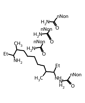 CCC(N)C(C)CCCCCC(C)C(N)CC.CCCCCCCCCC(N)=O.CCCCCCCCCC(N)=O.CCCCCCCCCC(N)=O.CCCCCCCCCC(N)=O